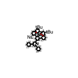 CC(C)(C)c1ccc2c(c1)c1cc(C(C)(C)C)ccc1n2-c1c(-c2ccccc2C#N)cc(-c2cc(-c3ccccc3)nc(-c3ccccc3)n2)cc1-c1ccccc1C#N